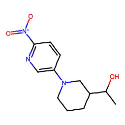 CC(O)C1CCCN(c2ccc([N+](=O)[O-])nc2)C1